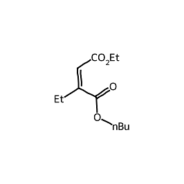 CCCCOC(=O)/C(=C\C(=O)OCC)CC